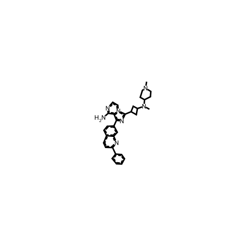 CN1CCC(N(C)C2CC(c3nc(-c4ccc5ccc(-c6ccccc6)nc5c4)c4c(N)nccn34)C2)CC1